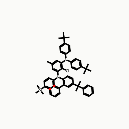 Cc1cc(N(c2ccc(C(C)(C)C)cc2)c2ccc(C(C)(C)C)cc2)c(Cl)c(N(c2ccc([Si](C)(C)C)cc2)c2ccc(C(C)(C)c3ccccc3)cc2-c2ccccc2)c1